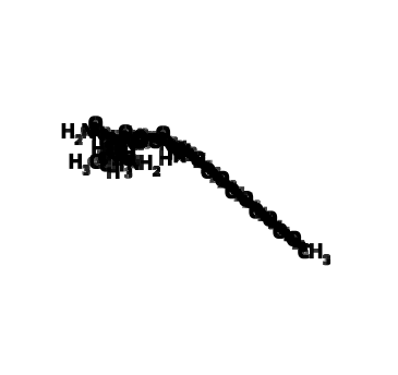 CCCOCCOCCOCCOCCOCCOCCOCCOCCOCCn1cc(CNC(=O)OCc2ccc(NC(=O)[C@H](CCCNC(N)=O)NC(=O)[C@H](CC(C)C)NC(=O)CON)cc2)nn1